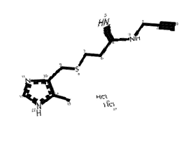 C#CCNC(=N)CCSCc1nc[nH]c1C.Cl.Cl